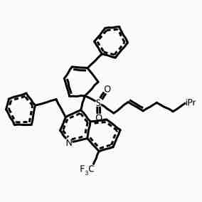 CC(C)CCC=CCS(=O)(=O)C1(c2c(Cc3ccccc3)cnc3c(C(F)(F)F)cccc23)C=CC=C(c2ccccc2)C1